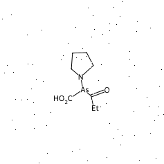 CCC(=O)[As](C(=O)O)N1CCCC1